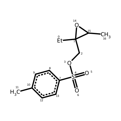 CCC1(COS(=O)(=O)c2ccc(C)cc2)OC1C